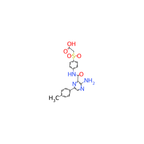 Cc1ccc(-c2cnc(N)c(C(=O)Nc3ccc(S(=O)(=O)CC(=O)O)cc3)n2)cc1